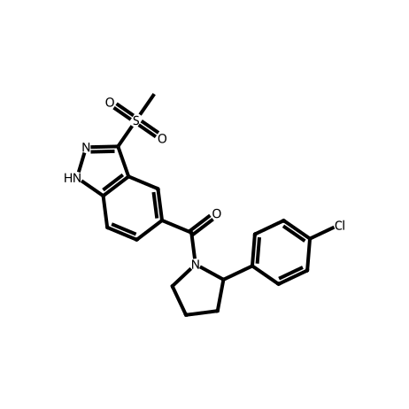 CS(=O)(=O)c1n[nH]c2ccc(C(=O)N3CCCC3c3ccc(Cl)cc3)cc12